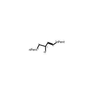 CCCCCC=CC(F)CCCCCC